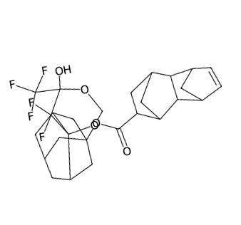 O=C(OC12CC3CC(C1)C1(OCOC(O)(C(F)(F)F)C1(F)F)C(C3)C2)C1CC2CC1C1C3C=CC(C3)C21